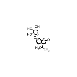 CC(C)c1cc(=O)oc2cc(O[C@H]3SC[C@@H](O)[C@H](O)[C@H]3O)ccc12